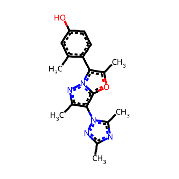 Cc1nc(C)n(-c2c(C)nn3c(-c4ccc(O)cc4C)c(C)oc23)n1